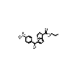 CCCOC(=O)C1CCn2c(C(=O)c3ccc([S+](C)[O-])cc3)ccc21